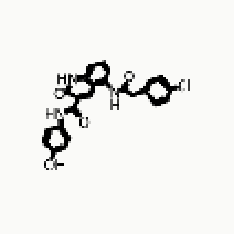 O=C(Cc1ccc(Cl)cc1)Nc1cccc2[nH]c(=O)c(C(=O)Nc3ccc(O)cc3)cc12